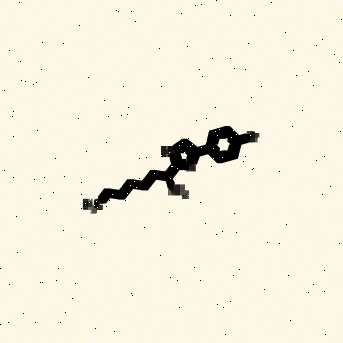 CCCCCC[C@H](N)c1nc(-c2ccc(Br)cc2)c[nH]1